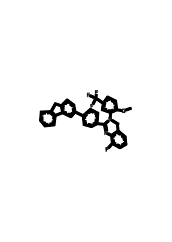 COc1ccc(C(F)(F)F)cc1N1[C]c2cccc(F)c2N=C1c1ccc(-c2ccc3c(c2)-c2ccccc2C3)cc1